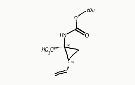 C=C[C@H]1C[C@@]1(NC(=O)OC(C)(C)C)C(=O)O